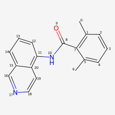 Cc1cccc(C)c1C(=O)Nc1cccc2cnccc12